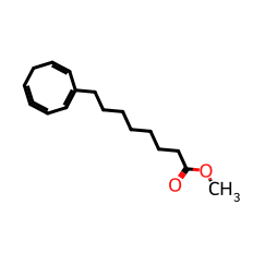 COC(=O)CCCCCCCC1=C/C=C=CC/C=C\1